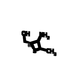 CC1S[C@@H](CO)C1N